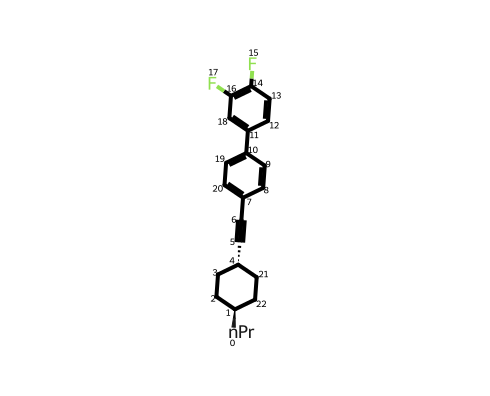 CCC[C@H]1CC[C@H](C#Cc2ccc(-c3ccc(F)c(F)c3)cc2)CC1